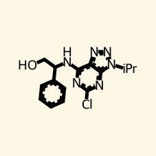 CC(C)n1nnc2c(NC(CO)c3ccccc3)nc(Cl)nc21